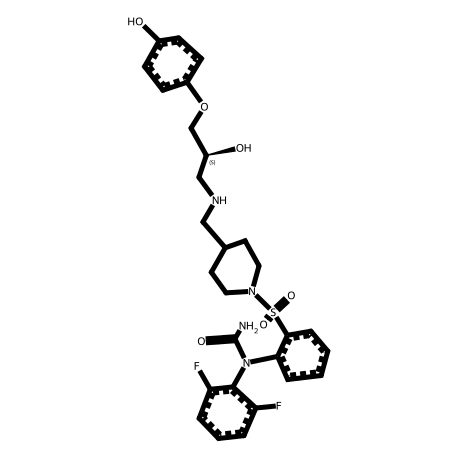 NC(=O)N(c1ccccc1S(=O)(=O)N1CCC(CNC[C@H](O)COc2ccc(O)cc2)CC1)c1c(F)cccc1F